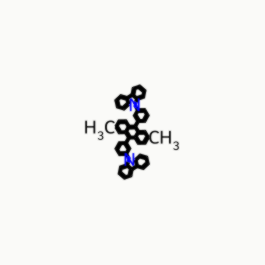 Cc1ccc2c(-c3cccc(-n4c5ccccc5c5ccccc54)c3)c3cc(C)ccc3c(-c3cccc(N4c5ccccc5C5C=CC=CC54)c3)c2c1